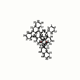 c1ccc(-c2nc(-c3ccccc3)nc(-c3c4ccccc4cc4c5ccccc5n(-c5ccc6c(c5)c5ccccc5n6-c5ccc6ccccc6c5)c34)n2)cc1